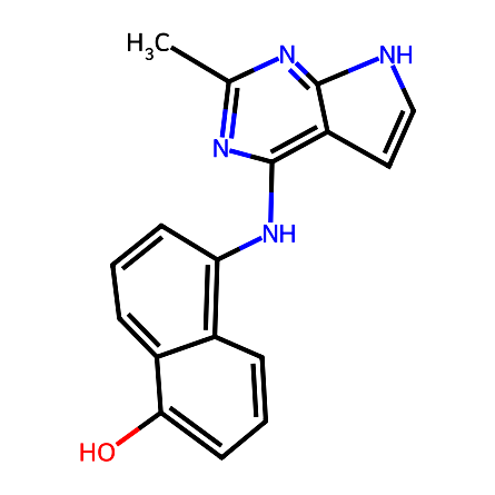 Cc1nc(Nc2cccc3c(O)cccc23)c2cc[nH]c2n1